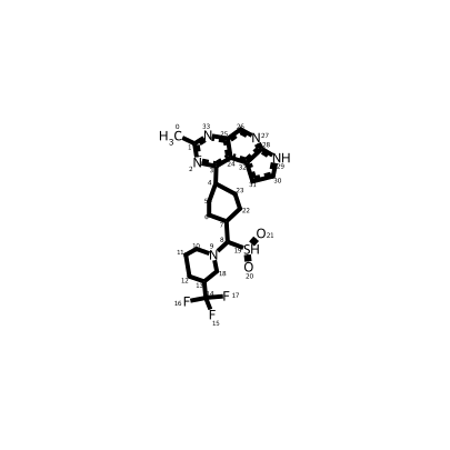 Cc1nc(C2CCC(C(N3CCCC(C(F)(F)F)C3)[SH](=O)=O)CC2)c2c(cnc3[nH]ccc32)n1